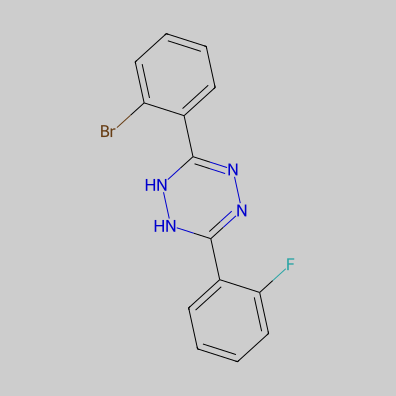 Fc1ccccc1C1=NN=C(c2ccccc2Br)NN1